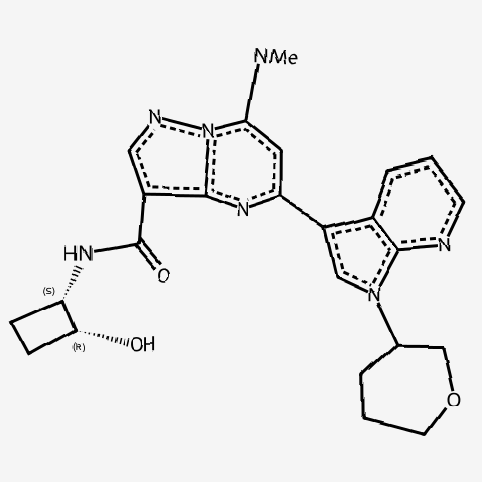 CNc1cc(-c2cn(C3CCCOC3)c3ncccc23)nc2c(C(=O)N[C@H]3CC[C@H]3O)cnn12